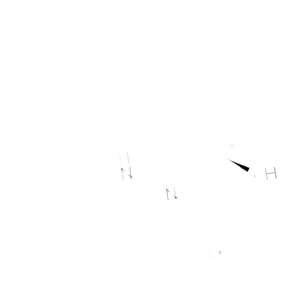 C[C@H](c1cccc2ccccc12)n1[nH]c2ccccc2c1=O